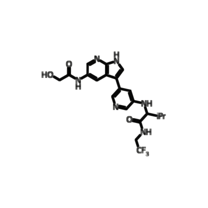 CC(C)C(Nc1cncc(-c2c[nH]c3ncc(NC(=O)CO)cc23)c1)C(=O)NCC(F)(F)F